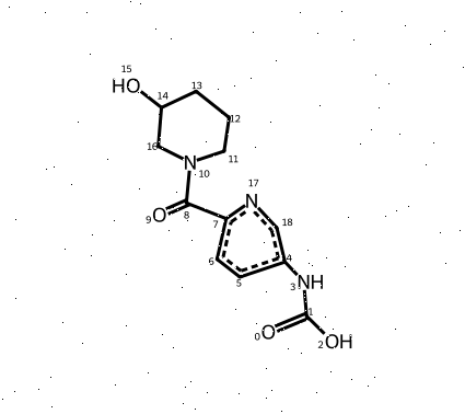 O=C(O)Nc1ccc(C(=O)N2CCCC(O)C2)nc1